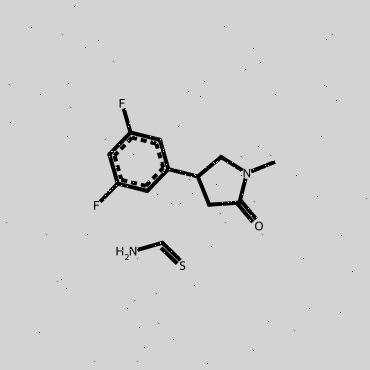 CN1CC(c2cc(F)cc(F)c2)CC1=O.NC=S